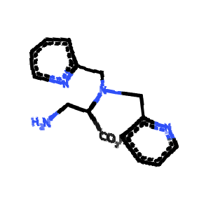 NCC(C(=O)O)N(Cc1ccccn1)Cc1ccccn1